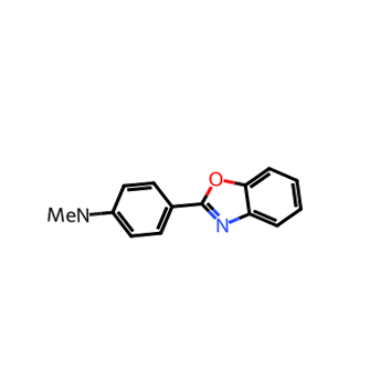 CNc1ccc(-c2nc3ccccc3o2)cc1